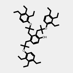 CCc1ccc(OC(C)(C)Cc2ccc(O)c(CC(C)(C)Oc3ccc(CC)c(CC)c3CC)c2CC(C)(C)Oc2ccc(CC)c(CC)c2CC)c(CC)c1CC